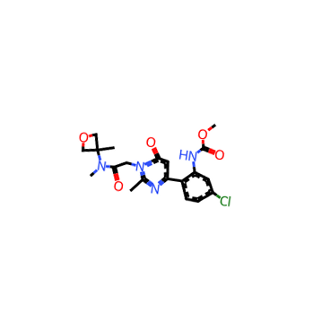 COC(=O)Nc1cc(Cl)ccc1-c1cc(=O)n(CC(=O)N(C)C2(C)COC2)c(C)n1